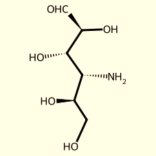 N[C@@H]([C@H](O)[C@H](O)C=O)[C@H](O)CO